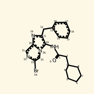 O=C(CC1CCCCC1)Nc1c(Cc2ccccc2)nc2cnc(Br)cn12